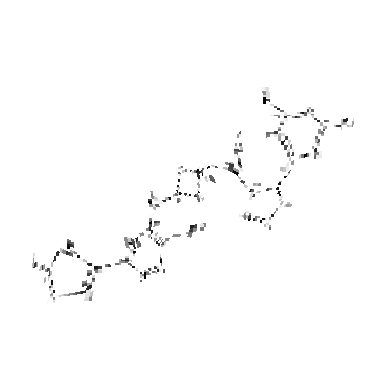 Cc1ncc(-c2ncc(F)c(OC3CN(C(=O)N4N=CCC4c4cc(F)cc(F)c4)C3)n2)s1